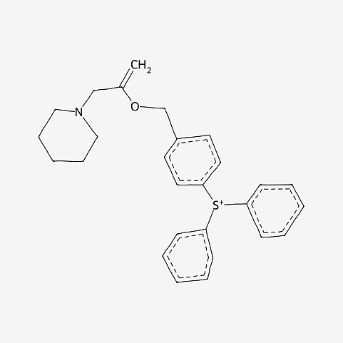 C=C(CN1CCCCC1)OCc1ccc([S+](c2ccccc2)c2ccccc2)cc1